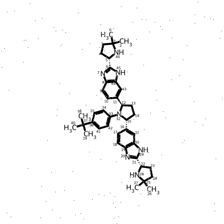 CC1(C)CC[C@@H](c2nc3ccc([C@H]4CC[C@H](c5ccc6nc([C@@H]7CCC(C)(C)N7)[nH]c6c5)N4c4ccc(C(C)(C)C)cc4)cc3[nH]2)N1